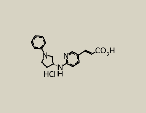 Cl.O=C(O)C=Cc1ccc(N[C@@H]2CCN(c3ccccc3)C2)nc1